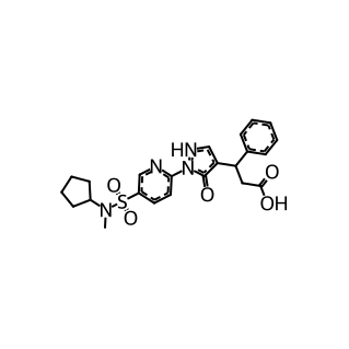 CN(C1CCCC1)S(=O)(=O)c1ccc(-n2[nH]cc(C(CC(=O)O)c3ccccc3)c2=O)nc1